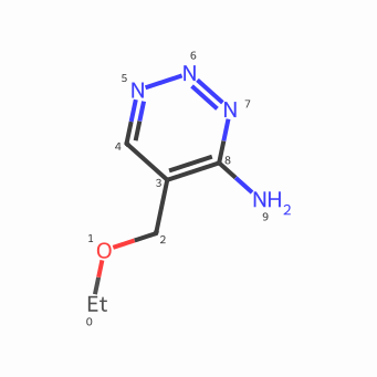 CCOCc1cnnnc1N